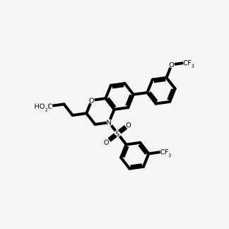 O=C(O)CCC1CN(S(=O)(=O)c2cccc(C(F)(F)F)c2)c2cc(-c3cccc(OC(F)(F)F)c3)ccc2O1